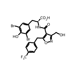 O=C(N[C@@H](Cc1cc(Br)c(O)c(Br)c1)C(=O)O)c1c(CO)noc1Cc1ccc(C(F)(F)F)cc1